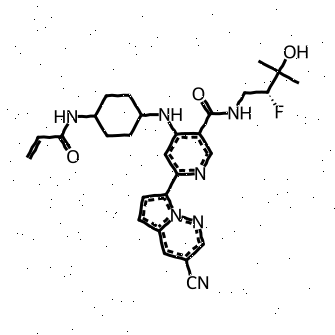 C=CC(=O)NC1CCC(Nc2cc(-c3ccc4cc(C#N)cnn34)ncc2C(=O)NC[C@@H](F)C(C)(C)O)CC1